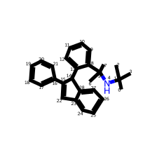 CC(C)(C)NC(C)(C)c1ccccc1C1C(c2ccccc2)=Cc2ccccc21